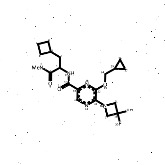 CNC(=O)C(CC1CCC1)NC(=O)c1cnc(N2CC(F)(F)C2)c(OCC2CC2)n1